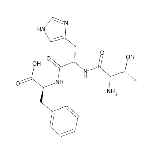 C[C@@H](O)[C@H](N)C(=O)N[C@@H](Cc1c[nH]cn1)C(=O)N[C@@H](Cc1ccccc1)C(=O)O